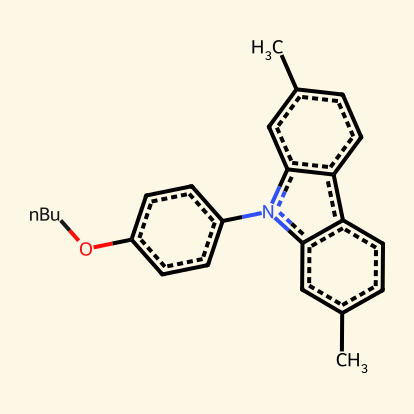 CCCCOc1ccc(-n2c3cc(C)ccc3c3ccc(C)cc32)cc1